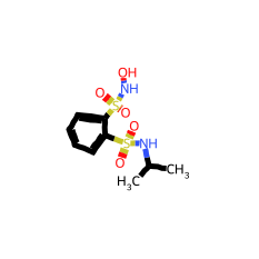 CC(C)NS(=O)(=O)c1ccccc1S(=O)(=O)NO